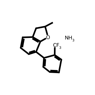 CC1Cc2cccc(-c3ccccc3C(F)(F)F)c2O1.N